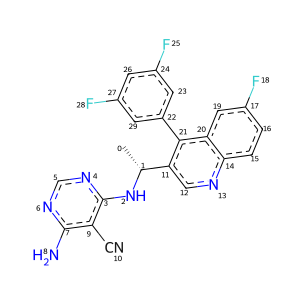 C[C@@H](Nc1ncnc(N)c1C#N)c1cnc2ccc(F)cc2c1-c1cc(F)cc(F)c1